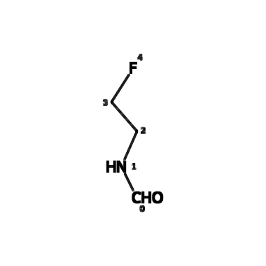 O=CNCCF